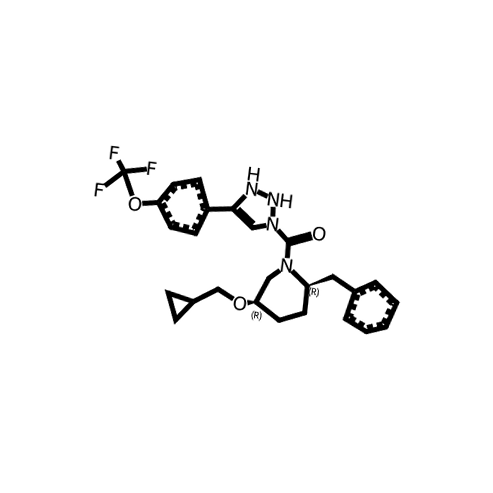 O=C(N1C=C(c2ccc(OC(F)(F)F)cc2)NN1)N1C[C@H](OCC2CC2)CC[C@@H]1Cc1ccccc1